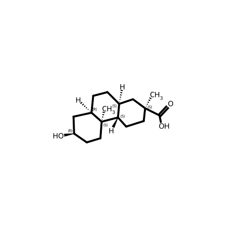 C[C@]1(C(=O)O)CC[C@H]2[C@@H](CC[C@@H]3C[C@H](O)CC[C@@]32C)C1